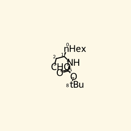 CCCCCC[C@H](CC=O)NC(=O)OC(C)(C)C